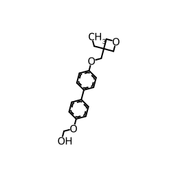 CCC1(COc2ccc(-c3ccc(OCO)cc3)cc2)COC1